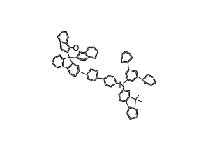 CC1(C)c2ccccc2-c2ccc(N(c3ccc(-c4ccc(-c5ccc6c(c5)C5(c7ccccc7-6)c6ccc7ccccc7c6Oc6c5ccc5ccccc65)cc4)cc3)c3cc(-c4ccccc4)cc(-c4ccccc4)c3)cc21